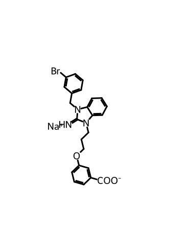 N=c1n(CCCOc2cccc(C(=O)[O-])c2)c2ccccc2n1Cc1cccc(Br)c1.[Na+]